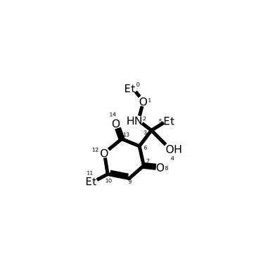 CCONC(O)(CC)C1C(=O)C=C(CC)OC1=O